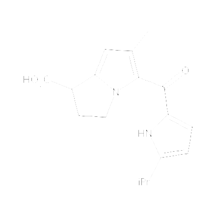 Cc1cc2n(c1C(=O)c1ccc(C(C)C)[nH]1)CCC2C(=O)O